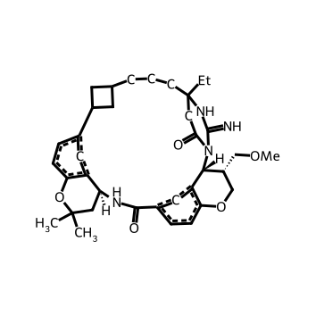 CCC12CCCC3CC(C3)c3ccc4c(c3)[C@H](CC(C)(C)O4)NC(=O)c3ccc4c(c3)[C@@H]([C@H](COC)CO4)N(C(=N)N1)C(=O)C2